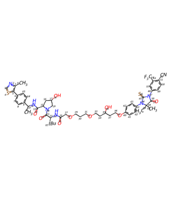 Cc1ncsc1-c1ccc(C(C)NC(=O)C2CC(O)CN2C(=O)C(NC(=O)COCCCOCCC(O)CCOc2ccc(N3C(=S)N(c4ccc(C#N)c(C(F)(F)F)c4)C(=O)C3(C)C)cc2)C(C)(C)C)cc1